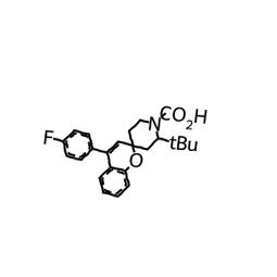 CC(C)(C)C1CC2(C=C(c3ccc(F)cc3)c3ccccc3O2)CCN1C(=O)O